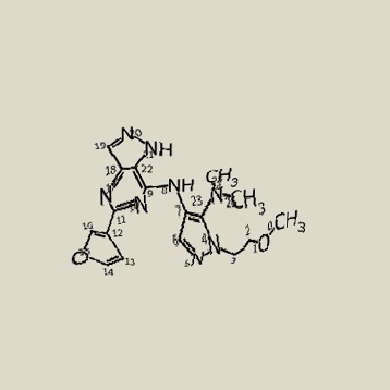 COCCn1ncc(Nc2nc(-c3ccoc3)nc3cn[nH]c23)c1N(C)C